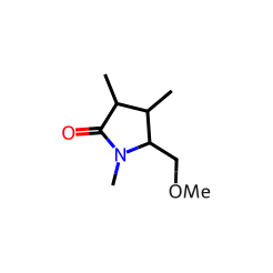 COCC1C(C)C(C)C(=O)N1C